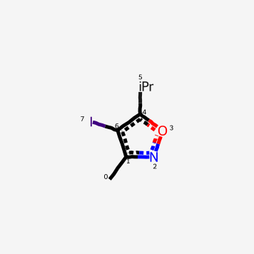 Cc1noc(C(C)C)c1I